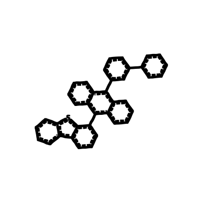 c1ccc(-c2cccc(-c3c4ccccc4c(-c4cccc5c4sc4ccccc45)c4ccccc34)c2)cc1